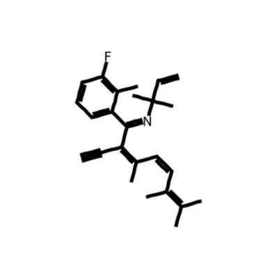 C#CC(=C(C)/C=C\C(C)=C(C)C)/C(=N/C(C)(C)C=C)c1cccc(F)c1C